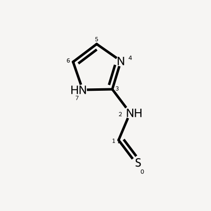 S=[C]Nc1ncc[nH]1